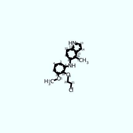 COc1cccc(Nc2ccc3[nH]ccc3c2C)c1OCCCl